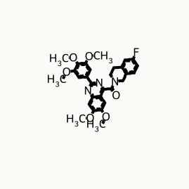 COc1cc2nc(-c3cc(OC)c(OC)c(OC)c3)nc(C(=O)N3CCc4cc(F)ccc4C3)c2cc1OC